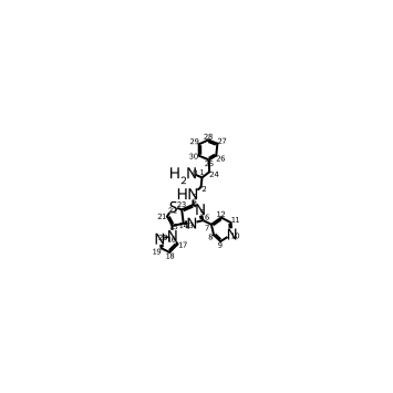 NC(CNc1nc(-c2ccncc2)nc2c(-n3cccn3)csc12)Cc1ccccc1